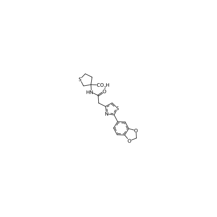 O=C(Cc1csc(-c2ccc3c(c2)OCO3)n1)NC1(C(=O)O)CCSC1